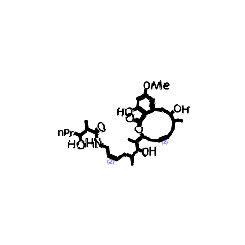 CCCC(O)C(C)C(=O)NC/C=C\CC(C)C(O)C(C)C1C/C=C\CC(C)C(O)Cc2cc(OC)cc(O)c2C(=O)O1